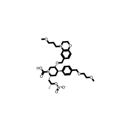 COCCCN1CCOc2ccc(CO[C@H]3CN(C(=O)O)[C@@H](C[C@@H](C)O[N+](=O)[O-])C[C@@H]3c3ccc(COCCOC)cc3)cc21